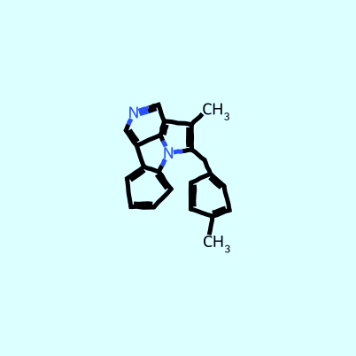 Cc1ccc(Cc2c(C)c3cncc4c5ccccc5n2c34)cc1